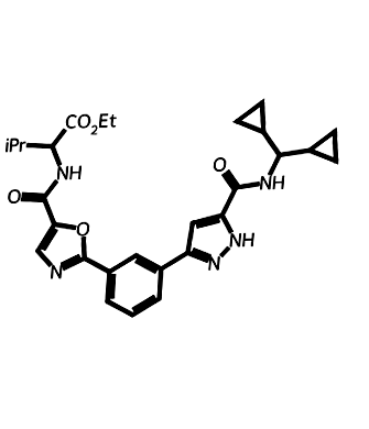 CCOC(=O)C(NC(=O)c1cnc(-c2cccc(-c3cc(C(=O)NC(C4CC4)C4CC4)[nH]n3)c2)o1)C(C)C